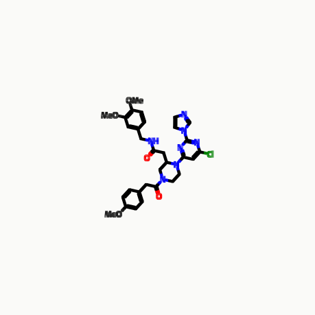 COc1ccc(CC(=O)N2CCN(c3cc(Cl)nc(-n4ccnc4)n3)C(CC(=O)NCc3ccc(OC)c(OC)c3)C2)cc1